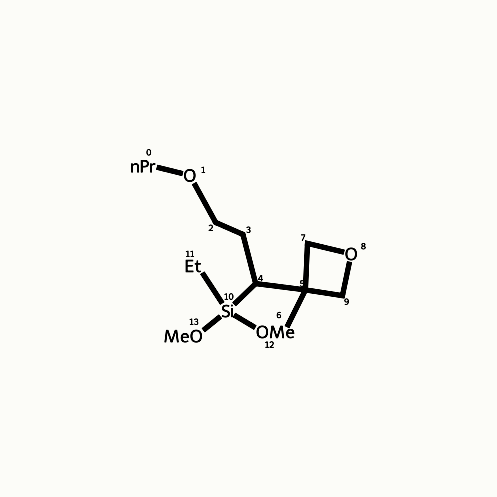 CCCOCCC(C1(C)COC1)[Si](CC)(OC)OC